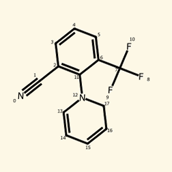 N#Cc1cccc(C(F)(F)F)c1N1C=CC=CC1